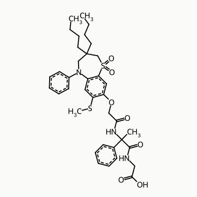 CCCCC1(CCCC)CN(c2ccccc2)c2cc(SC)c(OCC(=O)NC(C)(C(=O)NCC(=O)O)c3ccccc3)cc2S(=O)(=O)C1